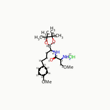 COCC(N)C(=O)NC(CCCc1ccc(OC)cc1)B1OC(C)(C)C(C)(C)O1.Cl